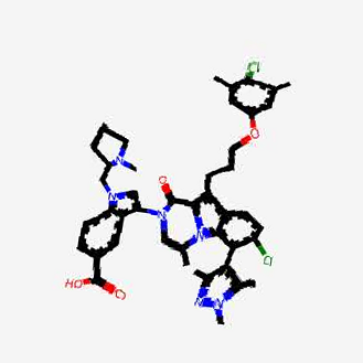 Cc1cc(OCCCc2c3n(c4c(-c5c(C)nn(C)c5C)c(Cl)ccc24)C(C)CN(c2cn(CC4CCCN4C)c4ccc(C(=O)O)cc24)C3=O)cc(C)c1Cl